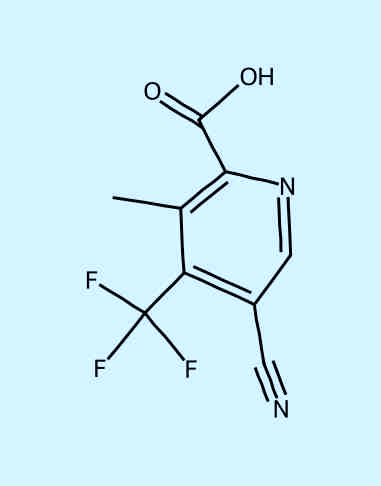 Cc1c(C(=O)O)ncc(C#N)c1C(F)(F)F